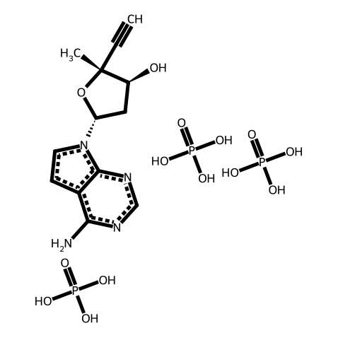 C#C[C@@]1(C)O[C@@H](n2ccc3c(N)ncnc32)C[C@@H]1O.O=P(O)(O)O.O=P(O)(O)O.O=P(O)(O)O